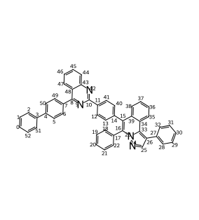 c1ccc(-c2ccc(-c3nc(-c4ccc(-c5c(-c6ccccc6)n6ncc(-c7ccccc7)c6c6ccccc56)cc4)nc4ccccc34)cc2)cc1